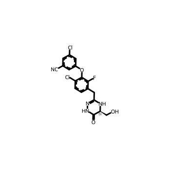 N#Cc1cc(Cl)cc(Oc2c(Cl)ccc(CC3=NNC(=O)[C@H](CO)N3)c2F)c1